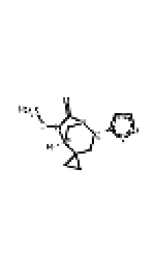 O=C1N2C[C@H](N1OS(=O)(=O)O)C1(CC1)C[C@H]2c1ccon1